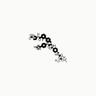 CC(C)(C)OC(=O)NC[C@H]1CC[C@H](C(=O)N[C@@H](Cc2ccc(-c3cccc(C(=O)N[C@@H]4CCN(C(=O)O)C4)c3F)cc2)C(=O)Nc2ccc(-c3nn[nH]n3)cc2)CC1